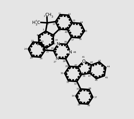 CC1(C)c2ccccc2-c2c1ccc1cccc(-c3nc(-c4ccccc4)nc(-c4ccc(-c5ccccc5)c5c4oc4ccccc45)n3)c21